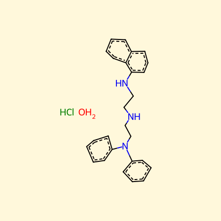 Cl.O.c1ccc(N(CCNCCNc2cccc3ccccc23)c2ccccc2)cc1